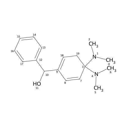 CN(C)C1(N(C)C)C=CC(C(O)c2ccccc2)=CC1